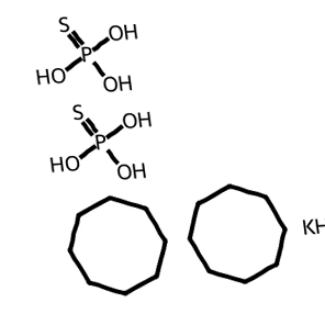 C1CCCCCCC1.C1CCCCCCC1.OP(O)(O)=S.OP(O)(O)=S.[KH]